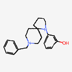 Oc1cccc(N2CCCCC23CCN(Cc2ccccc2)CC3)c1